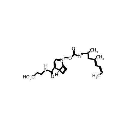 C/C=C\C=C(/C)CC(C)/C=N/C(=O)OC[N+]1=CC=C(C(=O)NCCC(=O)O)[C@@H]2C=C=C21